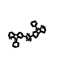 c1ccc(-n2c3cc(-c4nsc(-c5ccc6c7cccnc7n(-c7ccccc7)c6c5)n4)ccc3c3cccnc32)cc1